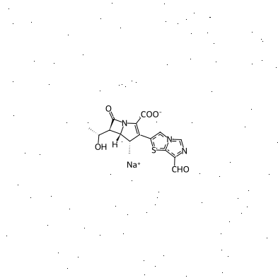 C[C@@H](O)[C@H]1C(=O)N2C(C(=O)[O-])=C(c3cn4cnc(C=O)c4s3)[C@H](C)[C@H]12.[Na+]